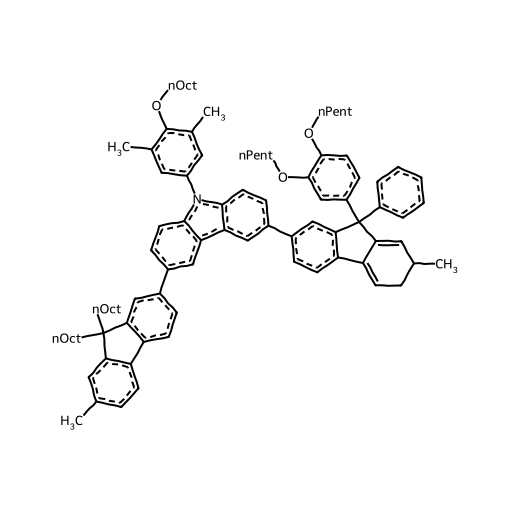 CCCCCCCCOc1c(C)cc(-n2c3ccc(-c4ccc5c(c4)C(CCCCCCCC)(CCCCCCCC)c4cc(C)ccc4-5)cc3c3cc(-c4ccc5c(c4)C(c4ccccc4)(c4ccc(OCCCCC)c(OCCCCC)c4)C4=CC(C)CC=C45)ccc32)cc1C